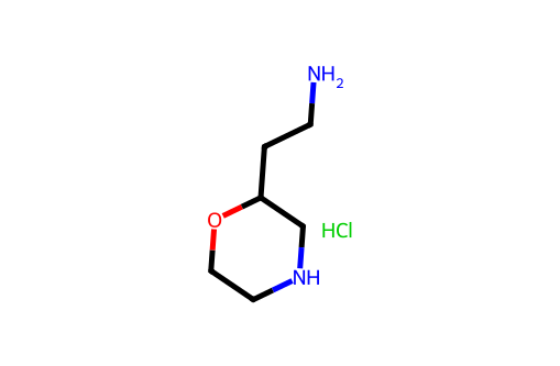 Cl.NCCC1CNCCO1